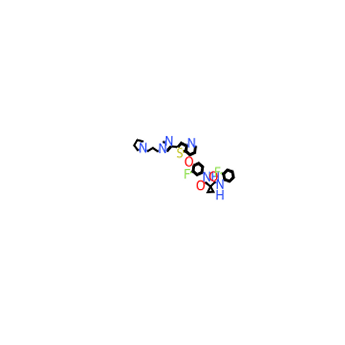 O=C(Nc1ccc(Oc2ccnc3cc(-c4cn(CCCN5CCCC5)cn4)sc23)c(F)c1)C1(C(=O)Nc2ccccc2F)CC1